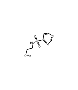 COCCNS(=O)(=O)c1ccncn1